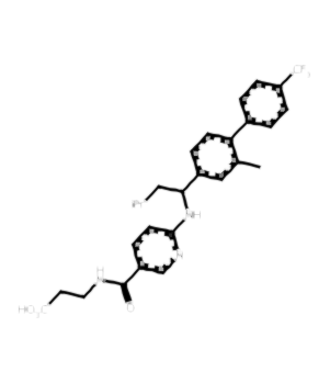 Cc1cc(C(CC(C)C)Nc2ccc(C(=O)NCCC(=O)O)cn2)ccc1-c1ccc(C(F)(F)F)cc1